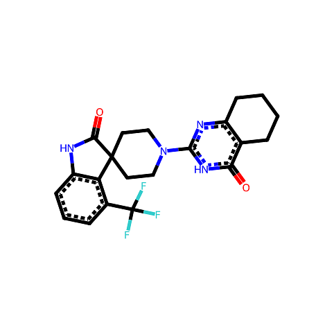 O=C1Nc2cccc(C(F)(F)F)c2C12CCN(c1nc3c(c(=O)[nH]1)CCCC3)CC2